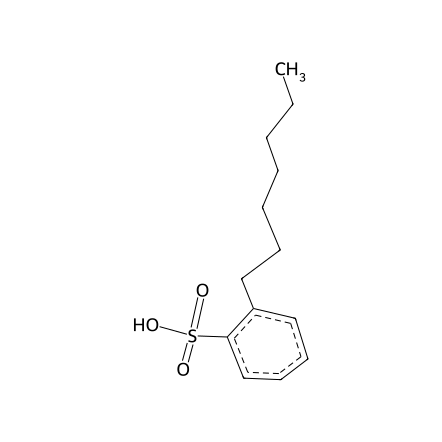 CCCCCCCc1ccccc1S(=O)(=O)O